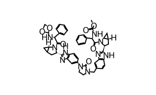 COC(=O)N[C@@H](C(=O)N1C2C[C@@H]2C[C@H]1c1nc2cc(CN3CCN(c4ccc5[nH]c([C@@H]6CC7C[C@H]7N6C(=O)[C@H](NC6OCO6)c6ccccc6)nc5c4)C3=O)ccc2[nH]1)c1ccccc1